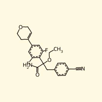 CCOC(Cc1ccc(C#N)cc1)(C(N)=O)c1c(F)cc(C2=CCOCC2)cc1F